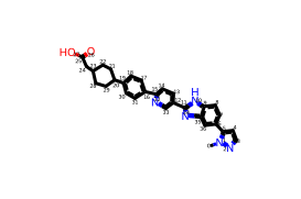 Cn1nccc1-c1ccc2[nH]c(-c3ccc(-c4ccc(C5CCC(CC(=O)O)CC5)cc4)nc3)nc2c1